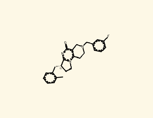 Cc1ccccc1C[C@H]1CCn2c1nc(=O)c1c2CCN(Cc2cccc(F)c2)C1